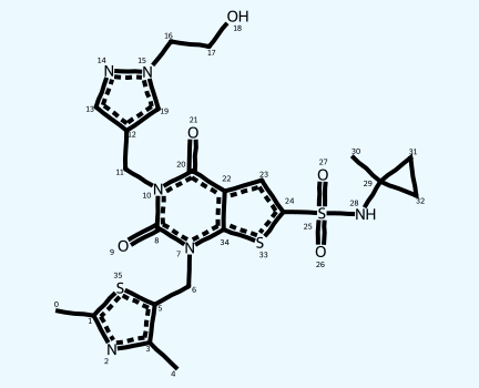 Cc1nc(C)c(Cn2c(=O)n(Cc3cnn(CCO)c3)c(=O)c3cc(S(=O)(=O)NC4(C)CC4)sc32)s1